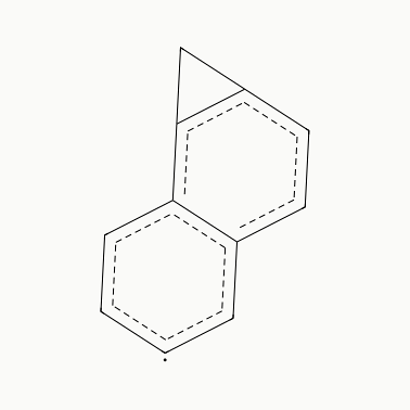 [c]1ccc2c3c(ccc2c1)C3